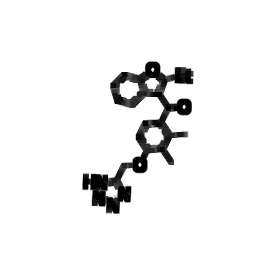 CCc1oc2ccccc2c1C(=O)c1ccc(OCc2nnn[nH]2)c(C)c1C